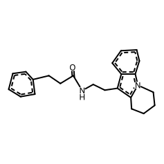 O=C(CCc1ccccc1)NCCc1c2n(c3ccccc13)CCCC2